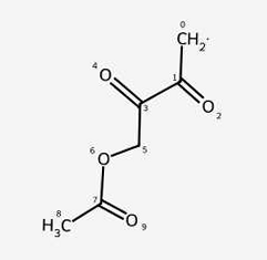 [CH2]C(=O)C(=O)COC(C)=O